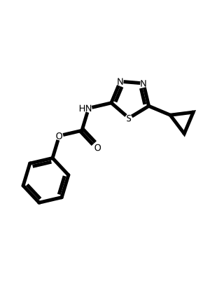 O=C(Nc1nnc(C2CC2)s1)Oc1ccccc1